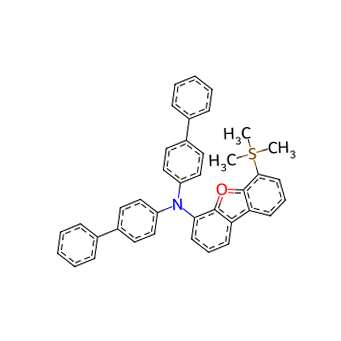 CS(C)(C)c1cccc2c1oc1c(N(c3ccc(-c4ccccc4)cc3)c3ccc(-c4ccccc4)cc3)cccc12